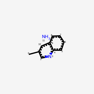 Cc1cnc2ccccc2c1.N